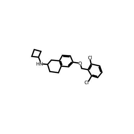 Clc1cccc(Cl)c1COc1ccc2c(c1)CCC(NC1CCC1)C2